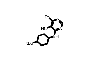 CCc1ncnc(NC2CCC(C(C)(C)C)CC2)c1C#N